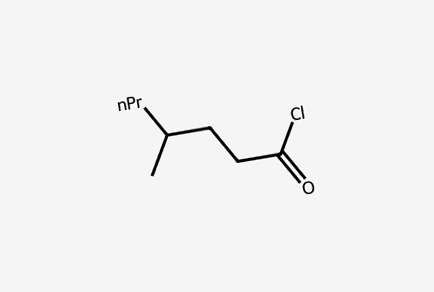 CCCC(C)CCC(=O)Cl